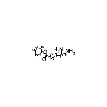 CC(C)(CSCC(N)CN)C(=O)OC1CCCCC1